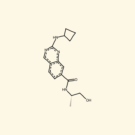 C[C@@H](CO)NC(=O)c1ccc2cnc(NC3CCC3)nc2c1